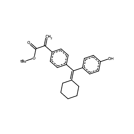 C=C(C(=O)OC(C)(C)C)c1ccc(C(=C2CCCCC2)c2ccc(O)cc2)cc1